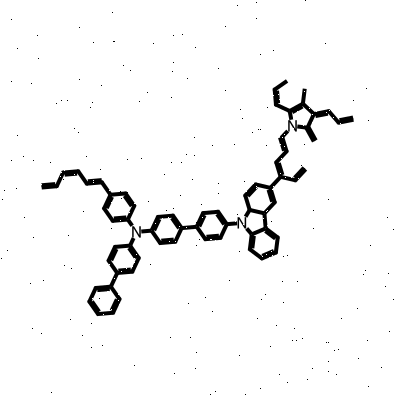 C=C/C=C\C=C\c1ccc(N(c2ccc(-c3ccccc3)cc2)c2ccc(-c3ccc(N4c5ccccc5C5C=C(/C(C=C)=C/C=C/n6c(/C=C\C)c(C)/c(=C/C=C)c6=C)C=CC54)cc3)cc2)cc1